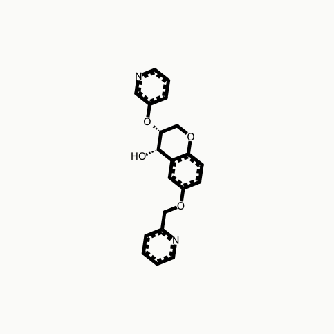 O[C@H]1c2cc(OCc3ccccn3)ccc2OC[C@H]1Oc1cccnc1